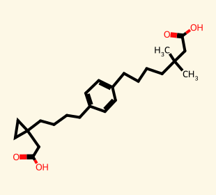 CC(C)(CCCCc1ccc(CCCCC2(CC(=O)O)CC2)cc1)CC(=O)O